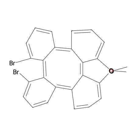 COc1cccc2c1=c1c(OC)cccc1=c1cccc(Br)c1=c1c(Br)cccc1=2